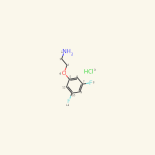 Cl.NCCOc1cc(F)cc(F)c1